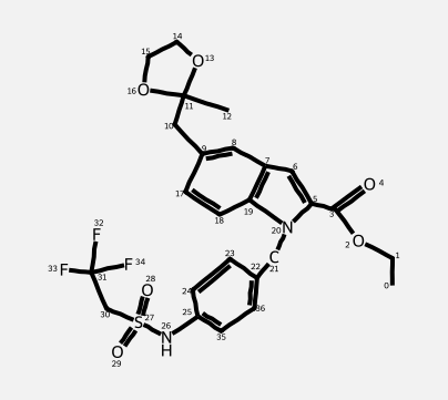 CCOC(=O)c1cc2cc(CC3(C)OCCO3)ccc2n1Cc1ccc(NS(=O)(=O)CC(F)(F)F)cc1